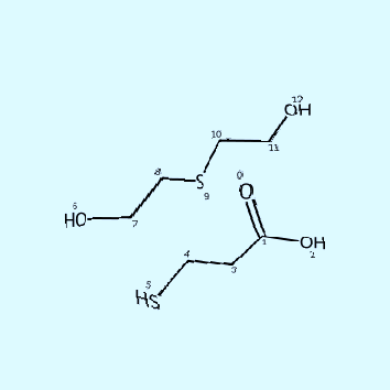 O=C(O)CCS.OCCSCCO